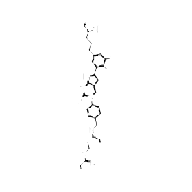 C=C[C@@H](N)CCCc1cc(Cl)c(F)c(-c2cc3cn(-c4ccc(CN[C@@H](C=C)CCNC(=N)CF)cc4)c(=O)nc3[nH]2)c1